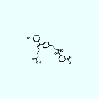 O=C(O)CCC/C=C(\c1ccc(CCNS(=O)(=O)c2cccc([N+](=O)[O-])c2)cc1)c1cccc(Br)c1